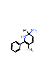 CC(=O)C1(N)C=CC(C)=C(c2ccccc2)N1